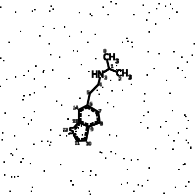 CC(C)NCCc1ccc2ccsc2c1